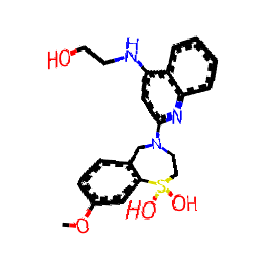 COc1ccc2c(c1)S(O)(O)CCN(c1cc(NCCO)c3ccccc3n1)C2